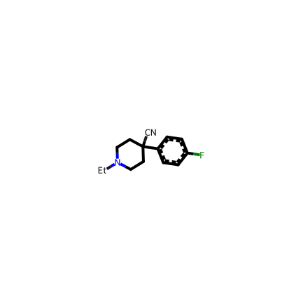 CCN1CCC(C#N)(c2ccc(F)cc2)CC1